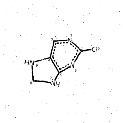 Clc1ncc2c(n1)NCN2